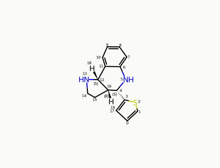 c1csc([C@H]2Nc3ccccc3[C@H]3NCC[C@@H]23)c1